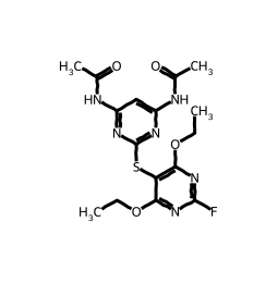 CCOc1nc(F)nc(OCC)c1Sc1nc(NC(C)=O)cc(NC(C)=O)n1